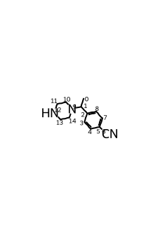 CC(c1ccc(C#N)cc1)N1CCNCC1